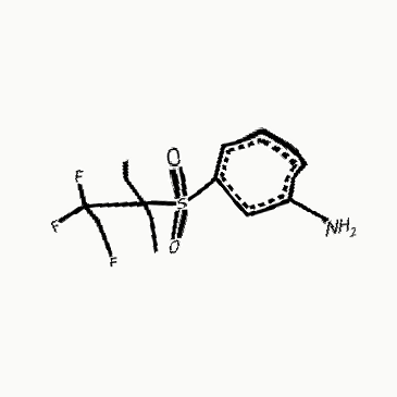 CC(C)(C(F)(F)F)S(=O)(=O)c1cccc(N)c1